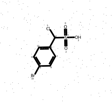 O=S(=O)(O)C(Cl)c1ccc(Br)cc1